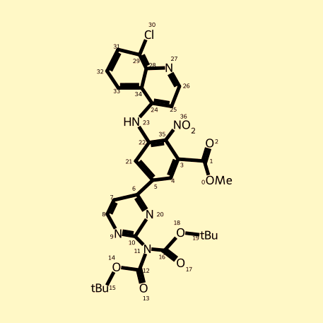 COC(=O)c1cc(-c2ccnc(N(C(=O)OC(C)(C)C)C(=O)OC(C)(C)C)n2)cc(Nc2ccnc3c(Cl)cccc23)c1[N+](=O)[O-]